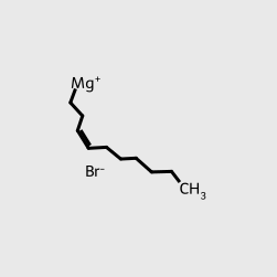 CCCCCC/C=C\C[CH2][Mg+].[Br-]